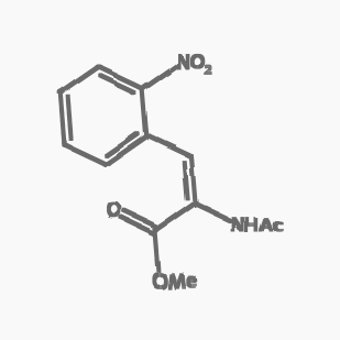 COC(=O)C(=Cc1ccccc1[N+](=O)[O-])NC(C)=O